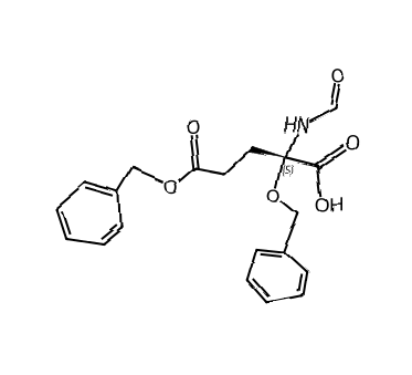 O=CN[C@@](CCC(=O)OCc1ccccc1)(OCc1ccccc1)C(=O)O